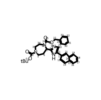 CC(C)(C)OC(=O)N1CCC(c2ncc(-c3ccc4ccccc4c3)[nH]2)N(C(=O)OCc2ccccc2)CC1